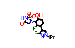 CC(C)n1cc(-c2ccc(O)c(N3CC(=O)NS3(=O)=O)c2F)c(F)n1